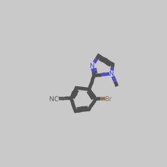 Cn1ccnc1-c1cc(C#N)ccc1Br